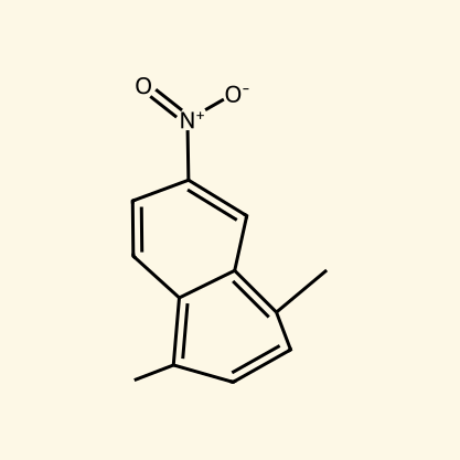 Cc1ccc(C)c2cc([N+](=O)[O-])ccc12